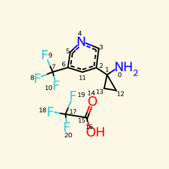 NC1(c2cncc(C(F)(F)F)c2)CC1.O=C(O)C(F)(F)F